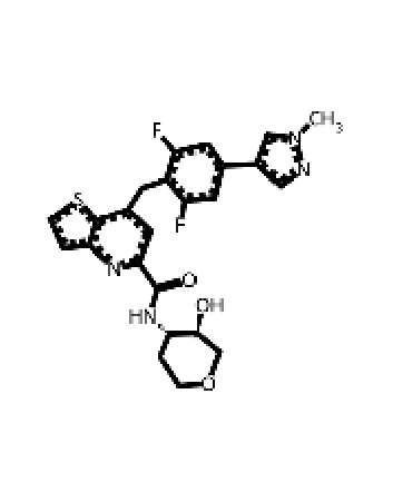 Cn1cc(-c2cc(F)c(Cc3cc(C(=O)N[C@H]4CCOC[C@@H]4O)nc4ccsc34)c(F)c2)cn1